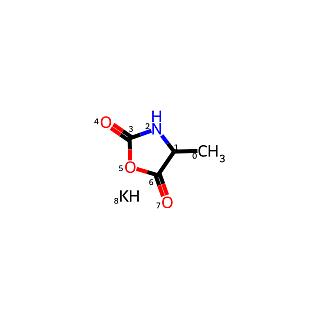 CC1NC(=O)OC1=O.[KH]